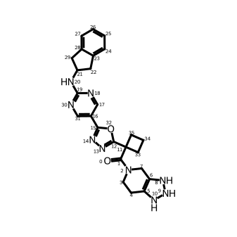 O=C(N1CCC2=C(C1)NNN2)C1(c2nnc(-c3cnc(NC4Cc5ccccc5C4)nc3)o2)CCC1